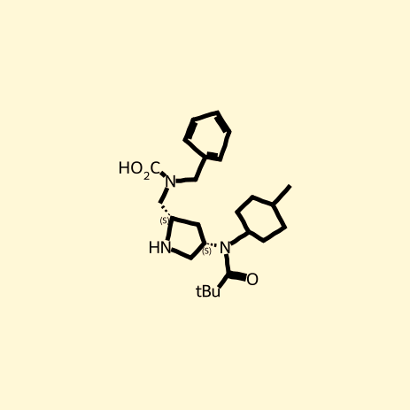 CC1CCC(N(C(=O)C(C)(C)C)[C@@H]2CN[C@H](CN(Cc3ccccc3)C(=O)O)C2)CC1